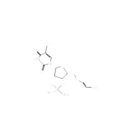 CC=COC[C@H]1O[C@@H](n2cc(C)c(=O)[nH]c2=O)C[C@H]1O[Si](C)(C)C(C)(C)C